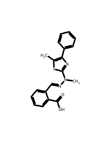 Cc1sc(N(C)N=Cc2ccccc2C(=O)O)nc1-c1ccccc1